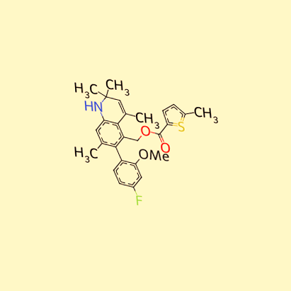 COc1cc(F)ccc1-c1c(C)cc2c(c1COC(=O)c1ccc(C)s1)C(C)=CC(C)(C)N2